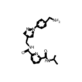 CC(C)NC(=O)c1cccc(C(=O)NCc2cnn(-c3ccc(CN)cc3)c2)n1